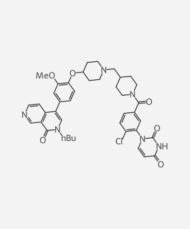 CCCCn1cc(-c2ccc(OC3CCN(CC4CCN(C(=O)c5ccc(Cl)c(-n6ccc(=O)[nH]c6=O)c5)CC4)CC3)c(OC)c2)c2ccncc2c1=O